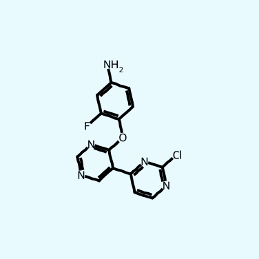 Nc1ccc(Oc2ncncc2-c2ccnc(Cl)n2)c(F)c1